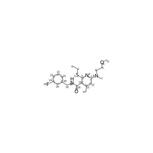 CCSc1nc(N(C)CCOC)cc(C)c1C(=O)NCc1cccc(F)c1